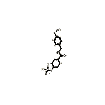 CCCOc1ccc(CNC(=O)C2CCC(NS(=O)(=O)C(C)CC)CC2)cc1